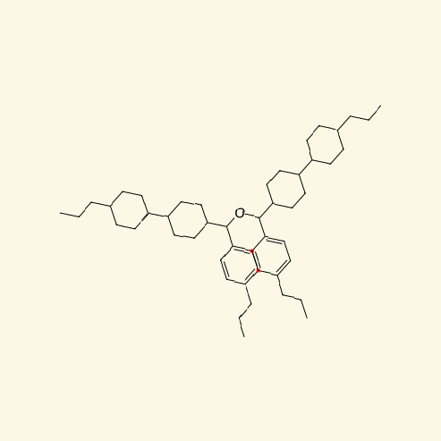 CCCc1ccc(C(OC(c2ccc(CCC)cc2)C2CCC(C3CCC(CCC)CC3)CC2)C2CCC(C3CCC(CCC)CC3)CC2)cc1